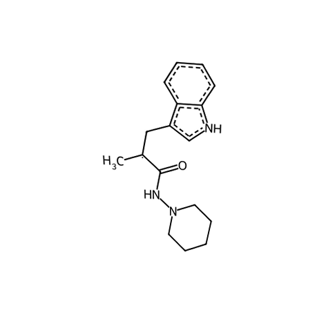 C[C](Cc1c[nH]c2ccccc12)C(=O)NN1CCCCC1